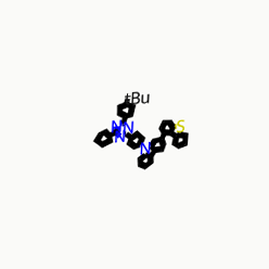 CC(C)(C)c1ccc(-c2nc(-c3ccccc3)nc(-c3ccc(-n4c5ccccc5c5ccc(-c6cccc7sc8ccccc8c67)cc54)cc3)n2)cc1